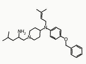 CC(C)=CCN(c1ccc(OCc2ccccc2)cc1)C1CCN(CC(N)CC(C)C)CC1